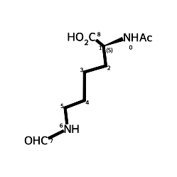 CC(=O)N[C@@H](CCCCNC=O)C(=O)O